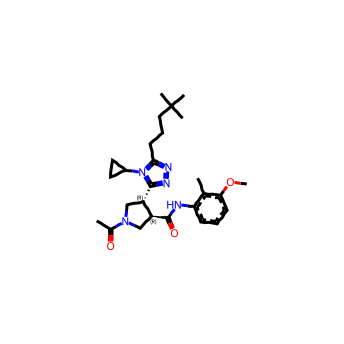 COc1cccc(NC(=O)[C@H]2CN(C(C)=O)C[C@@H]2c2nnc(CCCC(C)(C)C)n2C2CC2)c1C